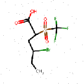 CCC(Br)CC(C(=O)O)S(=O)(=O)C(F)(F)F